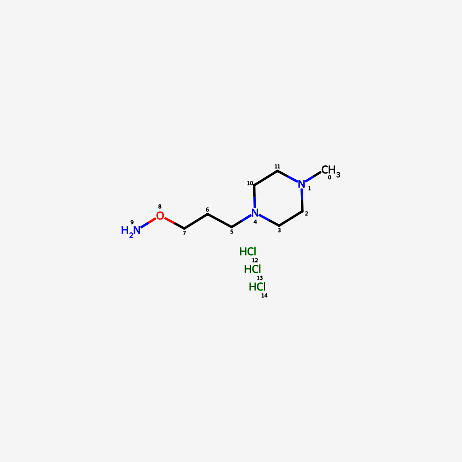 CN1CCN(CCCON)CC1.Cl.Cl.Cl